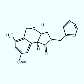 COc1cc(C)c2c(c1)[C@H]1C(=O)N(Cc3ccccc3)C[C@@H]1OC2